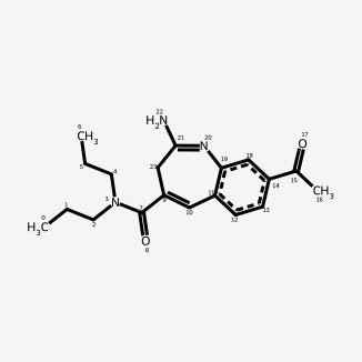 CCCN(CCC)C(=O)C1=Cc2ccc(C(C)=O)cc2N=C(N)C1